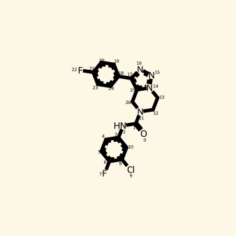 O=C(Nc1ccc(F)c(Cl)c1)N1CCn2nnc(-c3ccc(F)cc3)c2C1